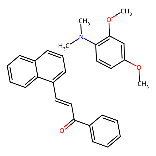 COc1ccc(N(C)C)c(OC)c1.O=C(C=Cc1cccc2ccccc12)c1ccccc1